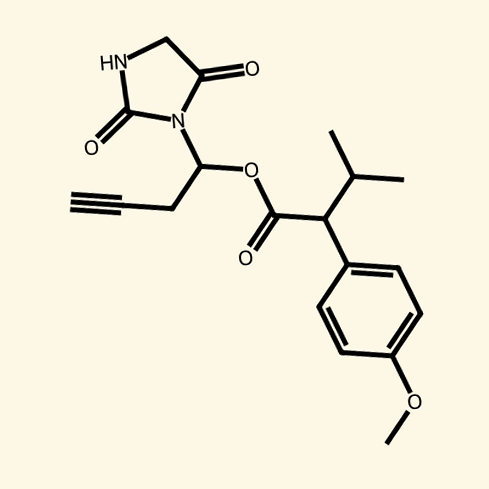 C#CCC(OC(=O)C(c1ccc(OC)cc1)C(C)C)N1C(=O)CNC1=O